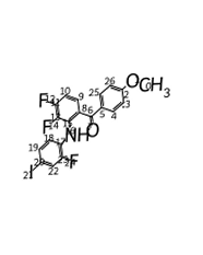 COc1[c]cc(C(=O)c2ccc(F)c(F)c2Nc2ccc(I)cc2F)cc1